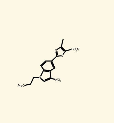 COCCn1cc([N+](=O)[O-])c2cc(-c3nc(C)c(C(=O)O)s3)ccc21